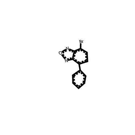 Brc1ccc(-c2ccccc2)c2nonc12